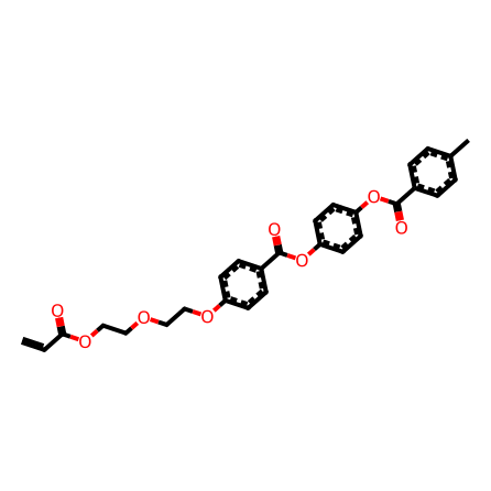 C=CC(=O)OCCOCCOc1ccc(C(=O)Oc2ccc(OC(=O)c3ccc(C)cc3)cc2)cc1